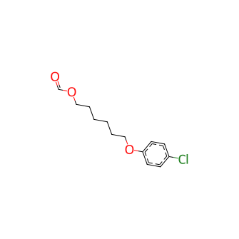 O=COCCCCCCOc1ccc(Cl)cc1